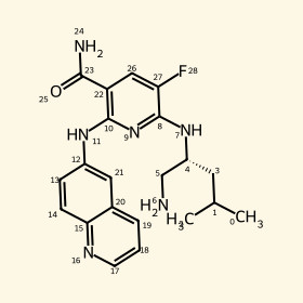 CC(C)C[C@H](CN)Nc1nc(Nc2ccc3ncccc3c2)c(C(N)=O)cc1F